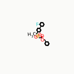 CC(c1ccc(-c2ccccc2F)cc1)S(=O)(=O)CC(=O)OCc1ccccc1